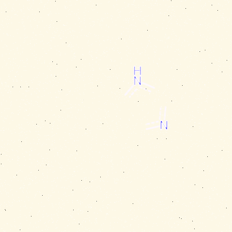 C=Cc1nc[nH]c1C(=C)C